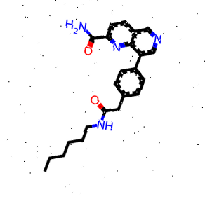 CCCCCCNC(=O)Cc1ccc(-c2cncc3ccc(C(N)=O)nc23)cc1